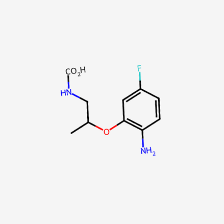 CC(CNC(=O)O)Oc1cc(F)ccc1N